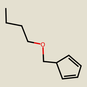 CCCCOCC1C=CC=C1